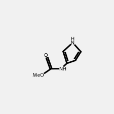 COC(=O)Nc1cc[nH]c1